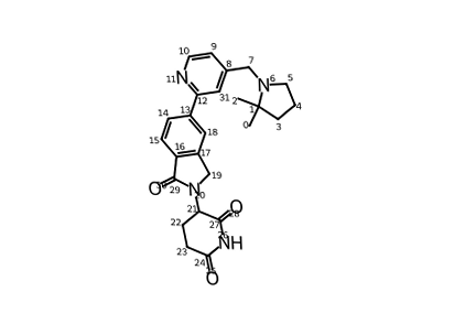 CC1(C)CCCN1Cc1ccnc(-c2ccc3c(c2)CN(C2CCC(=O)NC2=O)C3=O)c1